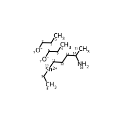 CCC[O-].CCC[O-].C[CH2][Sn+2][CH2]CCC(C)N